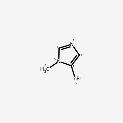 CCCc1cncn1C